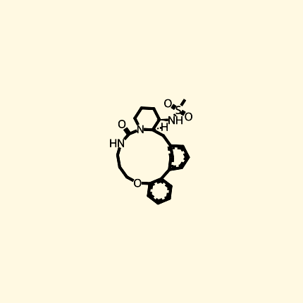 CS(=O)(=O)N[C@@H]1CCCN2C(=O)NCCCOc3ccccc3-c3cccc(c3)C[C@H]12